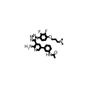 CC(=O)Nc1cccc(-c2cnc(N)c(-c3nnnn3-c3ccc(OCCCN(C)C)c(F)c3F)c2)c1